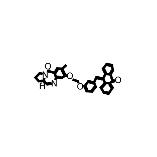 Cc1cc2c(cc1OCCOc1cccc(C=C3c4ccccc4C(=O)c4ccccc43)c1)N=C[C@@H]1CCCN1C2=O